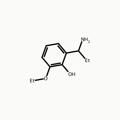 CCOc1cccc(C(N)CC)c1O